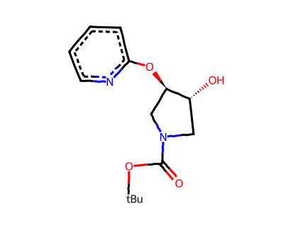 CC(C)(C)OC(=O)N1C[C@@H](O)[C@H](Oc2ccccn2)C1